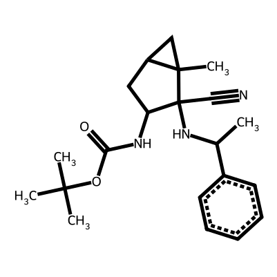 CC(NC1(C#N)C(NC(=O)OC(C)(C)C)CC2CC21C)c1ccccc1